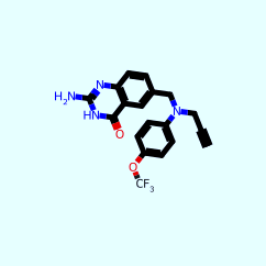 C#CCN(Cc1ccc2nc(N)[nH]c(=O)c2c1)c1ccc(OC(F)(F)F)cc1